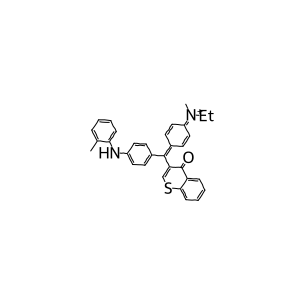 CC[N+](C)=C1C=CC(=C(c2ccc(Nc3ccccc3C)cc2)c2csc3ccccc3c2=O)C=C1